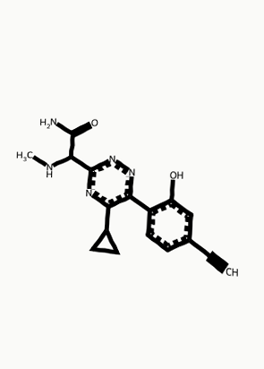 C#Cc1ccc(-c2nnc(C(NC)C(N)=O)nc2C2CC2)c(O)c1